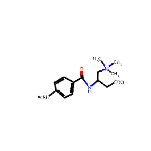 CC(=O)Nc1ccc(C(=O)NC(CC(=O)[O-])C[N+](C)(C)C)cc1